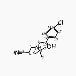 CC(C)(C)N(CCC#N)C[C@H](O)c1ccc(Cl)cc1